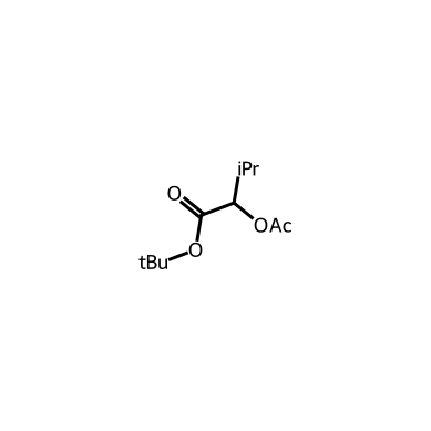 CC(=O)OC(C(=O)OC(C)(C)C)C(C)C